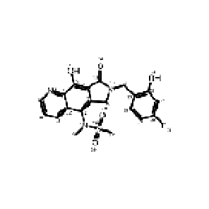 CN(c1c2c(c(O)c3ncccc13)C(=O)N(Cc1ccc(F)cc1O)C2)S(C)(=O)=O